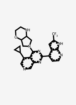 FC(F)(F)c1cc2c(-c3nc(N4CC5NCCOC5C4)c4c(C5CC5)cncc4n3)ccnc2[nH]1